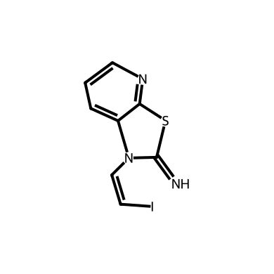 N=c1sc2ncccc2n1/C=C\I